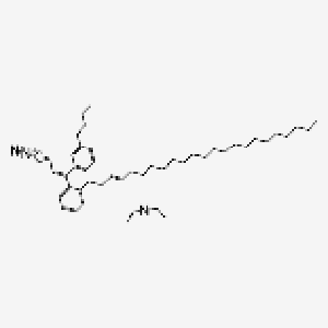 CCCCCCCCCCCCCCCCCCCC=CCCc1ccccc1C(=CC=C=[N+]=[N-])c1cccc(CCCC)c1.C[CH2][Ni][CH2]C